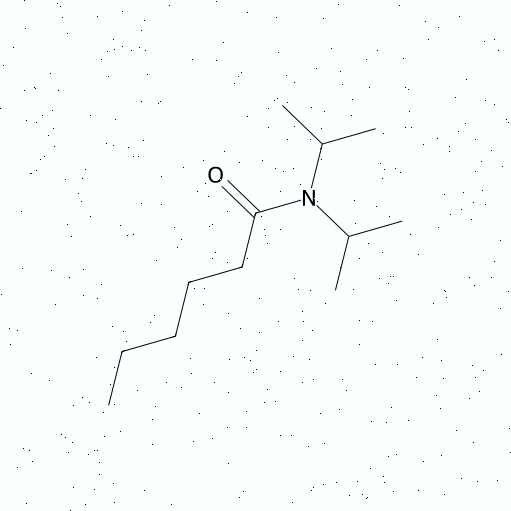 CCCCCC(=O)N(C(C)C)C(C)C